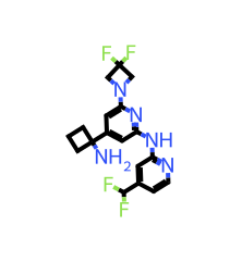 NC1(c2cc(Nc3cc(C(F)F)ccn3)nc(N3CC(F)(F)C3)c2)CCC1